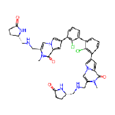 Cn1c(CNC[C@@H]2CCC(=O)N2)cn2cc(-c3cccc(-c4cccc(-c5cc6c(=O)n(C)c(CNC[C@@H]7CCC(=O)N7)cn6c5)c4Cl)c3Cl)cc2c1=O